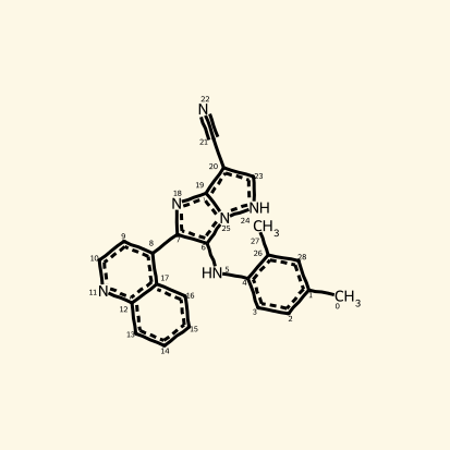 Cc1ccc(Nc2c(-c3ccnc4ccccc34)nc3c(C#N)c[nH]n23)c(C)c1